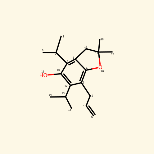 C=CCc1c2c(c(C(C)C)c(O)c1C(C)C)CC(C)(C)O2